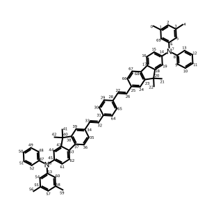 Cc1cc(C)cc(N(c2ccccc2)c2ccc3c(c2)C(C)(C)c2cc(/C=C/c4ccc(/C=C/c5ccc6c(c5)C(C)(C)c5cc(N(c7ccccc7)c7cc(C)cc(C)c7)ccc5-6)cc4)ccc2-3)c1